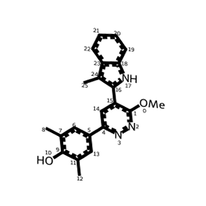 COc1nnc(-c2cc(C)c(O)c(C)c2)cc1-c1[nH]c2ccccc2c1C